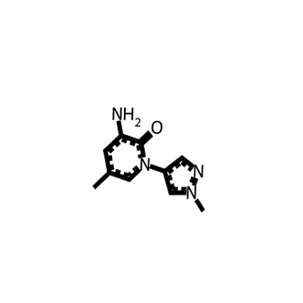 Cc1cc(N)c(=O)n(-c2cnn(C)c2)c1